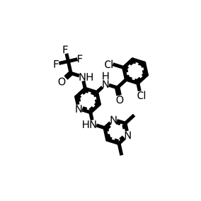 Cc1cc(Nc2cc(NC(=O)c3c(Cl)cccc3Cl)c(NC(=O)C(F)(F)F)cn2)nc(C)n1